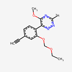 [2H]c1nnc(-c2ccc(C#C)cc2OCOCC)c(OC)n1